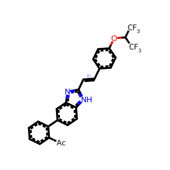 CC(=O)c1ccccc1-c1ccc2[nH]c(/C=C/c3ccc(OC(C(F)(F)F)C(F)(F)F)cc3)nc2c1